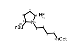 CCCCCCCCCCCCN1CCCC1CCCC.F